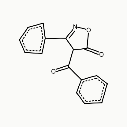 O=C1ON=C(c2ccccc2)C1C(=O)c1ccccc1